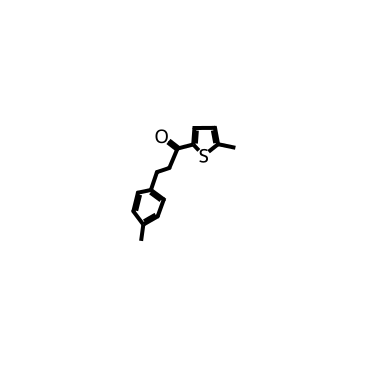 Cc1ccc(CCC(=O)c2ccc(C)s2)cc1